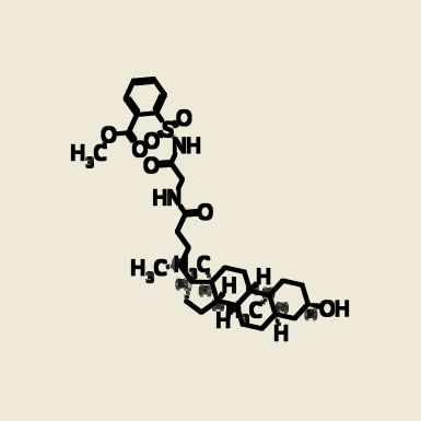 COC(=O)c1ccccc1S(=O)(=O)NC(=O)CNC(=O)CC[C@@H](C)[C@H]1CC[C@H]2[C@@H]3CC[C@@H]4C[C@H](O)CC[C@]4(C)[C@H]3CC[C@]12C